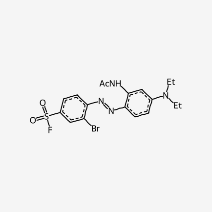 CCN(CC)c1ccc(N=Nc2ccc(S(=O)(=O)F)cc2Br)c(NC(C)=O)c1